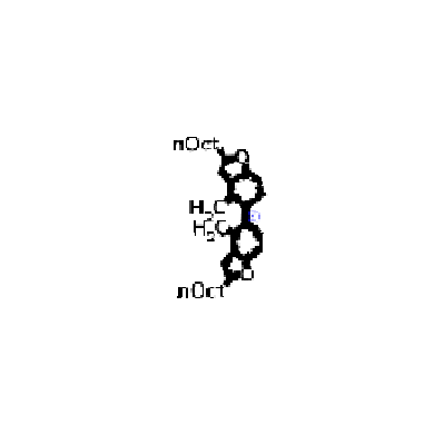 C=c1/c(=c2/ccc3oc(CCCCCCCC)cc3c2=C)ccc2oc(CCCCCCCC)cc12